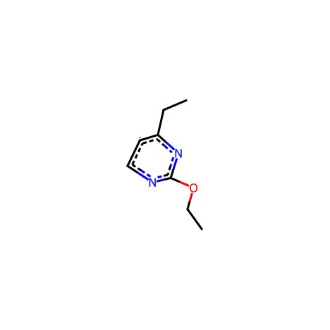 CCOc1nc[c]c(CC)n1